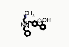 C/C=C/Cc1nc(CC2CCCCC2)nn1Cc1ccc(-c2ccccc2C(=O)O)cc1